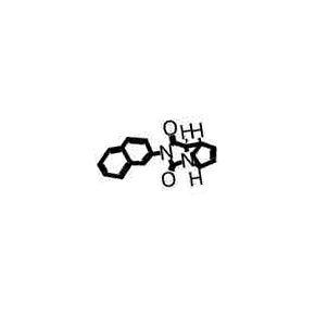 O=C1[C@H]2[C@@H]3C=C[C@@H](C3)N2C(=O)N1c1ccc2ccccc2c1